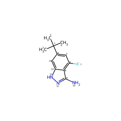 CC(C)(C)c1cc(F)c2c(N)n[nH]c2c1